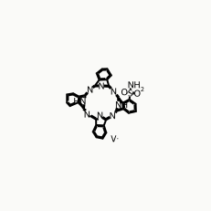 NS(=O)(=O)c1cccc2c3nc4nc(nc5[nH]c(nc6nc(nc([nH]3)c12)-c1ccccc1-6)c1ccccc51)-c1ccccc1-4.[V]